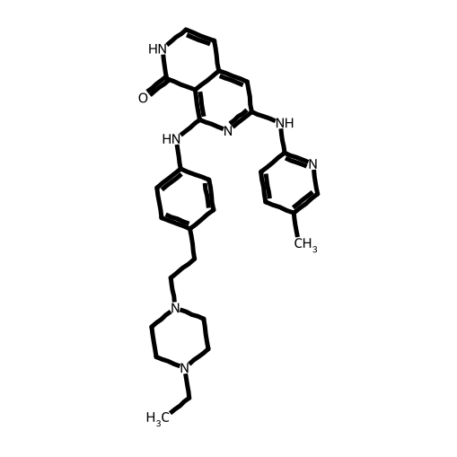 CCN1CCN(CCc2ccc(Nc3nc(Nc4ccc(C)cn4)cc4cc[nH]c(=O)c34)cc2)CC1